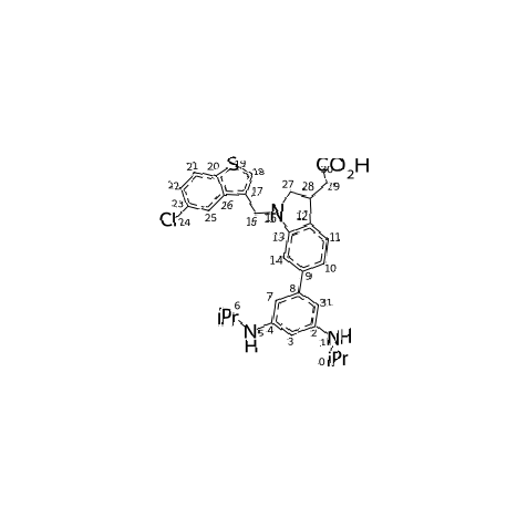 CC(C)Nc1cc(NC(C)C)cc(-c2ccc3c(c2)N(Cc2csc4ccc(Cl)cc24)CC3CC(=O)O)c1